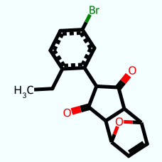 CCc1ccc(Br)cc1C1C(=O)C2C3C=CC(O3)C2C1=O